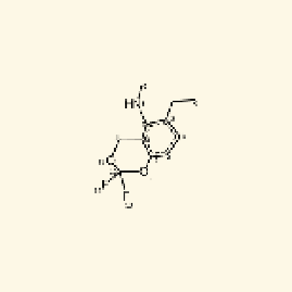 CCc1ccc2c(c1NC)[CH]OC(F)(F)O2